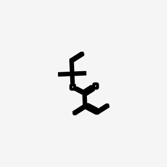 C/C=C(/C)C(=O)OC(C)(C)CC